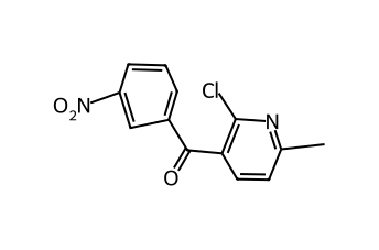 Cc1ccc(C(=O)c2cccc([N+](=O)[O-])c2)c(Cl)n1